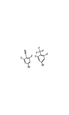 Fc1cc(Br)cc(F)c1C(F)(F)F.N#Cc1c(F)cc(Br)cc1F